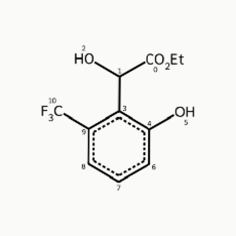 CCOC(=O)C(O)c1c(O)cccc1C(F)(F)F